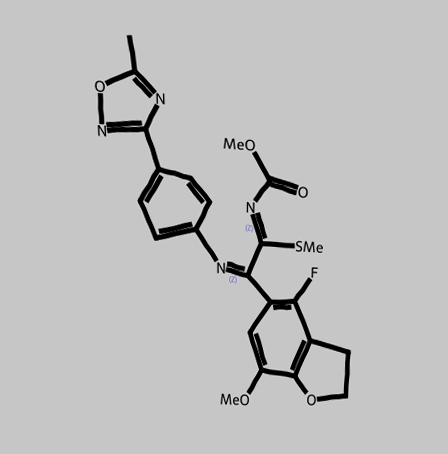 COC(=O)/N=C(SC)/C(=N\c1ccc(-c2noc(C)n2)cc1)c1cc(OC)c2c(c1F)CCO2